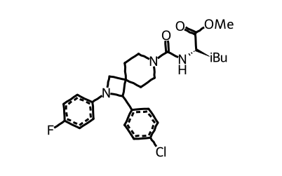 CC[C@H](C)[C@H](NC(=O)N1CCC2(CC1)CN(c1ccc(F)cc1)C2c1ccc(Cl)cc1)C(=O)OC